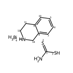 NC(=S)S.[BiH3].c1ccc2c(c1)CCNC2